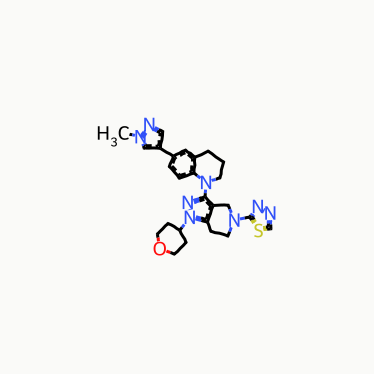 Cn1cc(-c2ccc3c(c2)CCCN3c2nn(C3CCOCC3)c3c2CN(c2nncs2)CC3)cn1